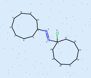 ClC1(N=NC2CCCCCCCC2)CCCCCCCC1